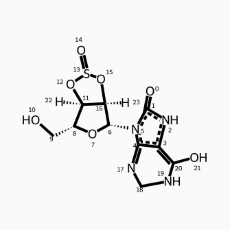 O=c1[nH]c2c(n1[C@@H]1O[C@H](CO)[C@H]3OS(=O)O[C@H]31)=NCNC=2O